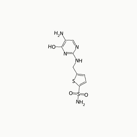 Nc1cnc(NCc2ccc(S(N)(=O)=O)s2)nc1O